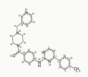 Cc1ccc(-c2ccnc(Nc3ccc(C(=O)N4CCN(Cc5cccnc5)CC4)cc3)n2)cc1